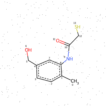 Cc1ccc(CO)cc1NC(=O)CS